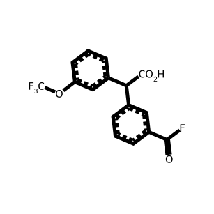 O=C(F)c1cccc(C(C(=O)O)c2cccc(OC(F)(F)F)c2)c1